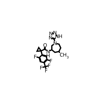 CC1CCN(c2nnn[nH]2)CC(NC(=O)C2(c3cc(F)c(C(F)(F)F)cc3F)CC2)C1